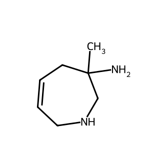 CC1(N)CC=CCNC1